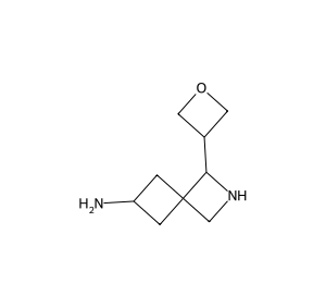 NC1CC2(CNC2C2COC2)C1